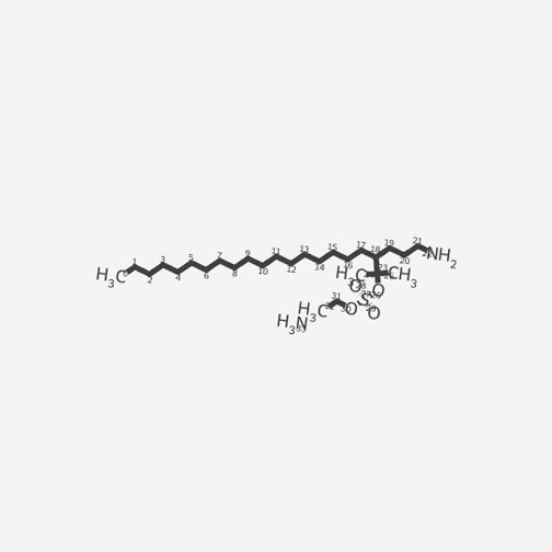 CCCCCCCCCCCCCCCCCCC(CCCN)C(C)(C)OS(=O)(=O)OCC.N